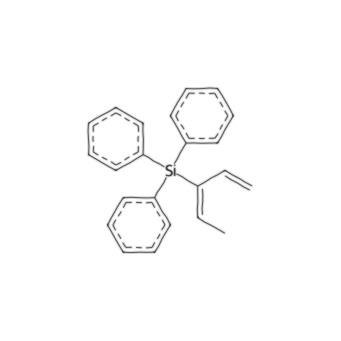 C=C/C(=C\C)[Si](c1ccccc1)(c1ccccc1)c1ccccc1